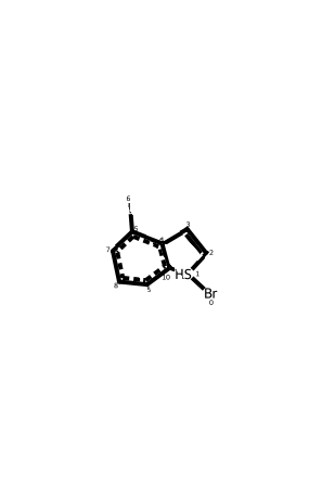 Br[SH]1C=Cc2c(I)cccc21